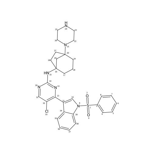 O=S(=O)(c1ccccc1)n1cc(-c2nc(NC34CCCC(N5CCNCC5)(CC3)C4)ncc2Cl)c2ccccc21